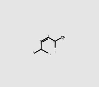 CC(I)/C=C\C(I)C#N